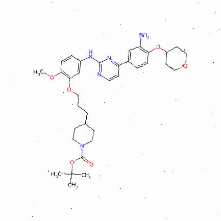 COc1ccc(Nc2nccc(-c3ccc(OC4CCOCC4)c(N)c3)n2)cc1OCCCC1CCN(C(=O)OC(C)(C)C)CC1